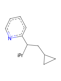 CC(C)C(CC1CC1)c1ccccn1